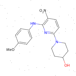 COc1ccc(Nc2nc(N3CCC(O)CC3)ccc2[N+](=O)[O-])cc1